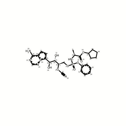 C[C@H](NP(=O)(OC[C@@H](OC#N)[C@@H](O)[C@@H](O)c1ccc2c(N)ncnn12)Oc1ccccc1)C(=O)OC1CCCC1